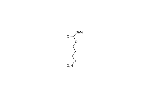 COC(=O)OCCCO[N+](=O)[O-]